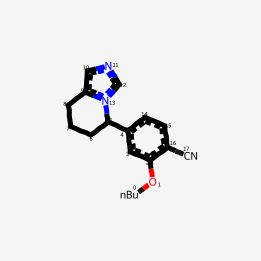 CCCCOc1cc(C2CCCc3cncn32)ccc1C#N